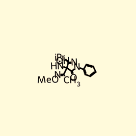 CO/N=C(\C)C1(NO)C(=O)N(c2ccccc2)N=C1C(C)C